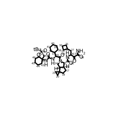 CC(C)(C)S(=O)(=O)CC1(NC(=O)N[C@H](C(=O)N2C[C@H]3[C@H](CCC34CC4)[C@H]2C(=O)NC(CC2CCC2)C(=O)C(N)=O)C2CCCCC2)CCCCC1